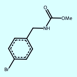 COC(=O)NCc1ccc(Br)cc1